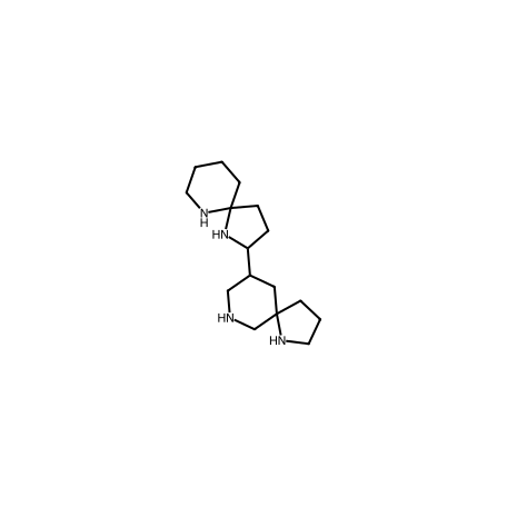 C1CCC2(CCC(C3CNCC4(CCCN4)C3)N2)NC1